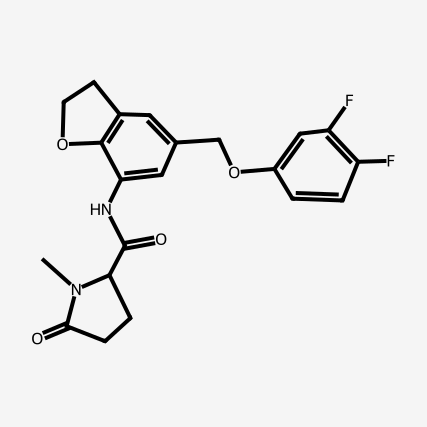 CN1C(=O)CCC1C(=O)Nc1cc(COc2ccc(F)c(F)c2)cc2c1OCC2